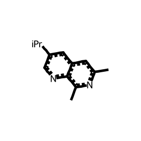 Cc1cc2cc(C(C)C)cnc2c(C)n1